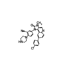 Cn1c(=O)n(-c2ccc(N3CCNCC3)c(C#N)c2)c2c3cc(-c4ccc(Cl)cc4)ccc3ncc21